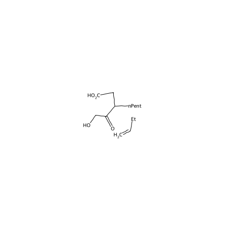 C=CCC.CCCCCC(CC(=O)O)C(=O)CO